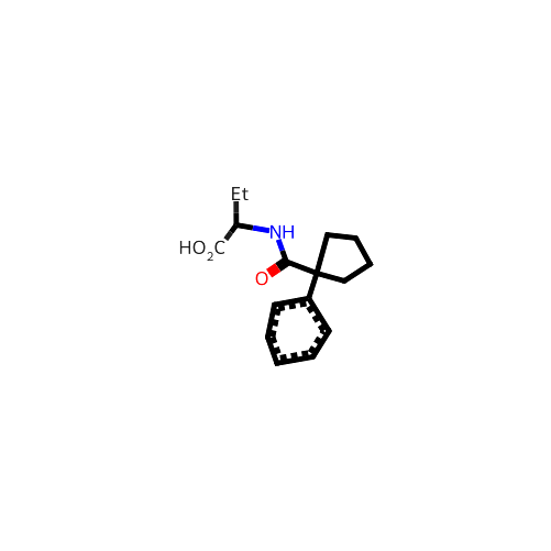 CCC(NC(=O)C1(c2ccccc2)CCCC1)C(=O)O